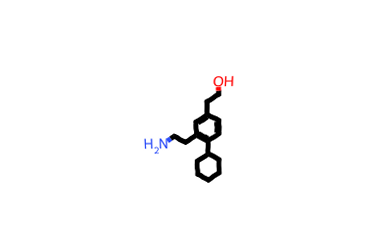 NCCc1cc(CCO)ccc1C1CCCCC1